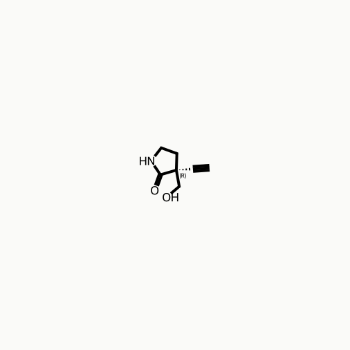 C#C[C@@]1(CO)CCNC1=O